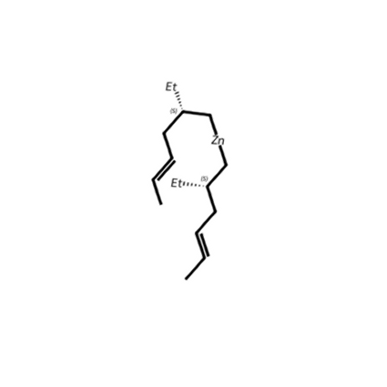 CC=CC[C@H](CC)[CH2][Zn][CH2][C@@H](CC)CC=CC